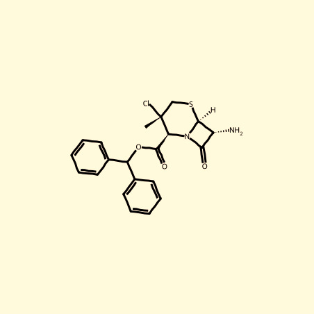 C[C@@]1(Cl)CS[C@H]2[C@H](N)C(=O)N2[C@H]1C(=O)OC(c1ccccc1)c1ccccc1